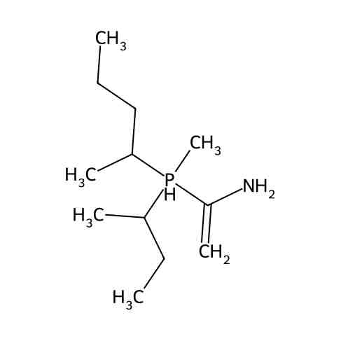 C=C(N)[PH](C)(C(C)CC)C(C)CCC